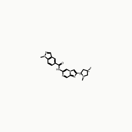 CN1C[C@H](F)C[C@@H]1c1cn2cc(NC(=O)c3ccc4c(cnn4C)c3)ncc2n1